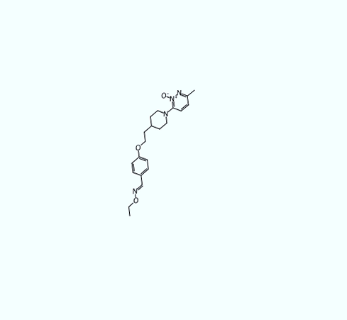 CCON=Cc1ccc(OCCC2CCN(c3ccc(C)n[n+]3[O-])CC2)cc1